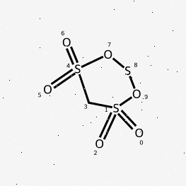 O=S1(=O)CS(=O)(=O)OSO1